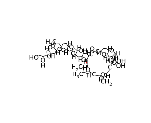 C=C1C[C@@H]2CC[C@]34CC(O)(O)C(O3)[C@@H]3O[C@H]5CC[C@H](CC(=O)C[C@@H]6C[C@@H]7O[C@@H]8C[C@]9(C[C@@H]%10O[C@@]%11(CC[C@@H]%10O9)C[C@H](C)[C@@H]9O[C@@H]%10C[C@@H]([C@@H](O)CO)O[C@@H]%10C[C@@H]9O%11)O[C@@H]8C[C@@H]7O[C@H]6C[C@H]6O[C@@H](CC[C@@H]1O2)C[C@@H](C)C6=C)O[C@@H]5[C@H](O4)[C@@H]3I